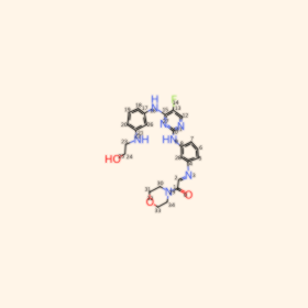 O=C(C=Nc1cccc(Nc2ncc(F)c(Nc3cccc(NCCO)c3)n2)c1)N1CCOCC1